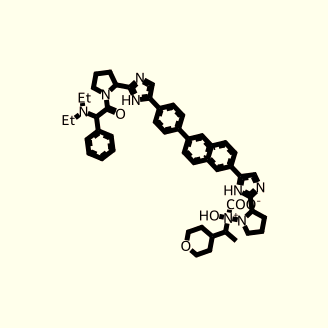 CCN(CC)C(C(=O)N1CCCC1c1ncc(-c2ccc(-c3ccc4cc(-c5cnc(C6CCCN6[N+](O)(C(=O)[O-])C(C)C6CCOCC6)[nH]5)ccc4c3)cc2)[nH]1)c1ccccc1